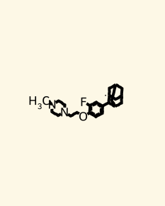 CN1CCN(CCOc2ccc(C3[C]4CC5CC(C4)CC3C5)cc2F)CC1